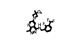 COC1(C)CN(c2cnc3c(C)nnc(NCc4cccc(C(F)F)c4F)c3c2)C1